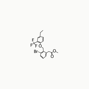 CCc1ccc(OCc2c(Br)cccc2CC(=O)OC)c(C(F)(F)F)c1